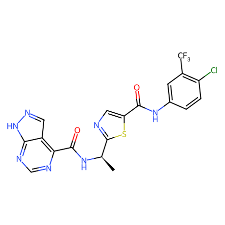 C[C@@H](NC(=O)c1ncnc2[nH]ncc12)c1ncc(C(=O)Nc2ccc(Cl)c(C(F)(F)F)c2)s1